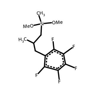 CO[Si](C)(CC(C)Cc1c(F)c(F)c(F)c(F)c1F)OC